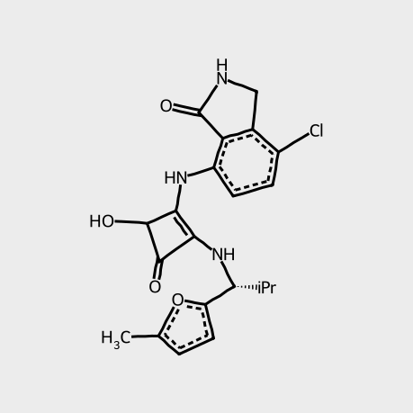 Cc1ccc([C@H](NC2=C(Nc3ccc(Cl)c4c3C(=O)NC4)C(O)C2=O)C(C)C)o1